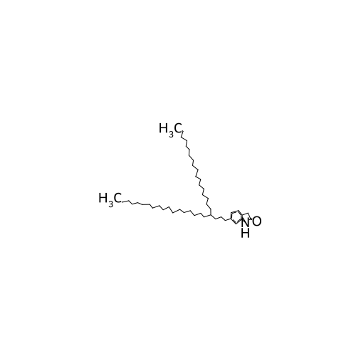 CCCCCCCCCCCCCCCCCCC(CCCCCCCCCCCCCCCCCC)CCCc1ccc2c(c1)NC(=O)C2